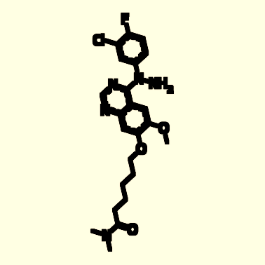 COc1cc2c(N(N)c3ccc(F)c(Cl)c3)ncnc2cc1OCCCCCC(=O)N(C)C